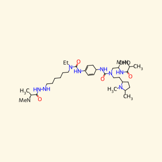 CCN(CCCCCCNNC(=O)[C@H](C)NC)C(=O)NC1=CCC(NC(=O)N(CCC2CCC(C)N2C)CC(C=O)NC(=O)C(C)NC)C=C1